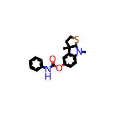 CN1c2ccc(OC(=O)Nc3ccccc3)cc2C2(C)CCSC12